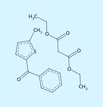 CCOC(=O)CC(=O)OCC.Cc1ccc(C(=O)c2ccccc2)s1